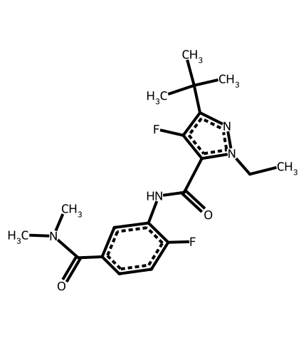 CCn1nc(C(C)(C)C)c(F)c1C(=O)Nc1cc(C(=O)N(C)C)ccc1F